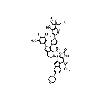 CCP(=O)(CC)c1ncc(N2C=CN(c3c4c(nn3-c3cc(C)c(F)c(C)c3)CCN(C(=O)c3cc5cc(C6CCOCC6)ccc5n3[C@@]3(c5noc(=O)[nH]5)C[C@@H]3C)[C@H]4C)C2)cc1NC